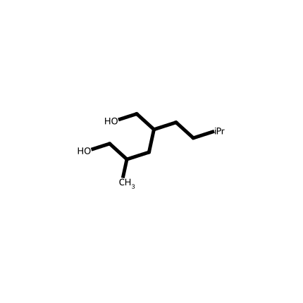 CC(C)CCC(CO)CC(C)CO